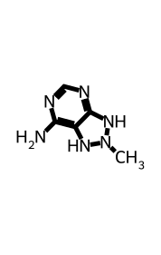 CN1Nc2ncnc(N)c2N1